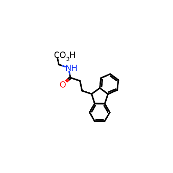 O=C(O)CNC(=O)CCC1c2ccccc2-c2ccccc21